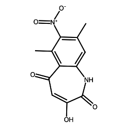 Cc1cc2[nH]c(=O)c(O)cc(=O)c2c(C)c1[N+](=O)[O-]